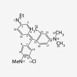 CCN=C1C=CC(=C(c2ccc(NC)c(Cl)c2)c2ccc(N(C)C)cc2C)C=C1